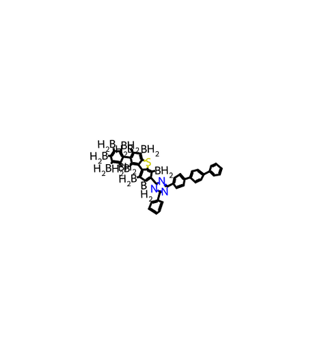 Bc1c(B)c(B)c(-c2c(B)c(B)c3sc4c(B)c(-c5nc(-c6ccccc6)nc(-c6ccc(-c7ccc(-c8ccccc8)cc7)cc6)n5)c(B)c(B)c4c3c2B)c(B)c1B